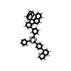 c1ccc(-c2nc(-c3ccc(-c4cccc5cccnc45)cc3)nc(-c3cccc(-c4cccc5c4-c4ccc6ccccc6c4C54C5CC6CC(C5)CC4C6)c3)n2)cc1